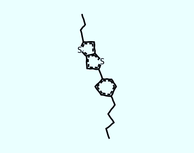 CCCCCc1ccc(-c2cc3sc(CCC)cc3s2)cc1